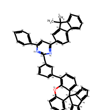 CC1(C)c2ccccc2-c2ccc(-c3cc(-c4ccccc4)nc(-c4cccc(-c5cccc6c5Oc5ccccc5C65c6ccccc6-c6ccccc65)c4)n3)cc21